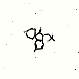 Cc1ccc2c(c1)C1(CCNCC1)C(=O)N2CC(F)(F)F